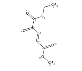 CCSC(=O)C(=O)/C=C/C(=O)OC